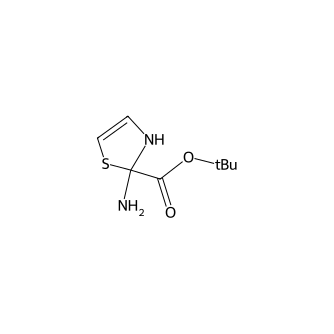 CC(C)(C)OC(=O)C1(N)NC=CS1